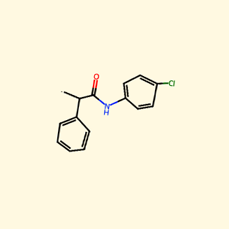 [CH2]C(C(=O)Nc1ccc(Cl)cc1)c1ccccc1